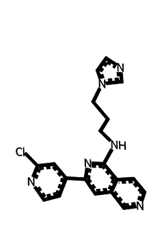 Clc1cc(-c2cc3cnccc3c(NCCCn3ccnc3)n2)ccn1